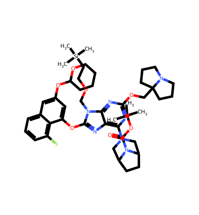 CC(C)(C)OC(=O)N1C2CCC1CN(c1nc(OCC34CCCN3CCC4)nc3c1nc(Oc1cc(OC4CCCCO4)cc4cccc(F)c14)n3COCC[Si](C)(C)C)C2